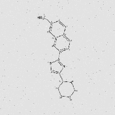 O=C(O)c1ccc2ccc(-c3nc(C4CCOCC4)cs3)cc2c1